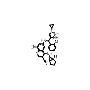 N#Cc1cnc2c(Cl)cc(NC(C3=CN(C4CC4)NN3)c3ccccc3Cl)cc2c1NC1[C@H]2CCC[C@@H]12